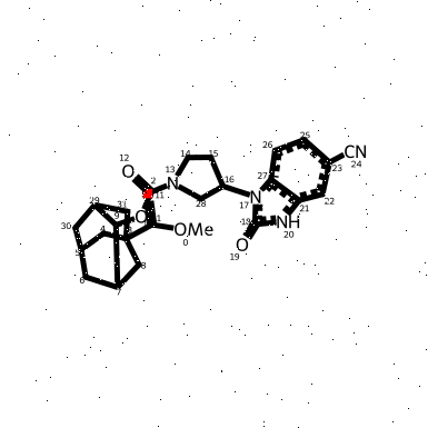 COC(=O)C12CC3CC(C1)C(OC(=O)N1CCC(n4c(=O)[nH]c5cc(C#N)ccc54)C1)C(C3)C2